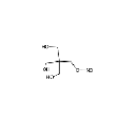 O=NOCC(CO)(CO)CO